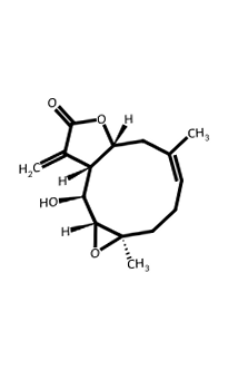 C=C1C(=O)O[C@@H]2C/C(C)=C\CC[C@@]3(C)O[C@@H]3[C@@H](O)[C@H]12